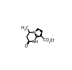 CCOC(=O)c1ccn2c1NC(=O)CC2C